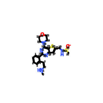 CN/C=C\c1ccccc1-c1nc(N2CCOCC2)c2sc(CN[S+](C)[O-])cc2n1